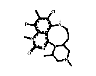 Cc1c(Cl)c2c3c(nc(=O)n(C)c3c1F)N1C(C)CN(C)CC1CCN2